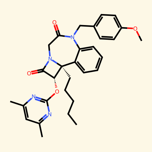 CCCCC[C@@]12c3ccccc3N(Cc3ccc(OC)cc3)C(=O)CN1C(=O)[C@H]2Oc1nc(C)cc(C)n1